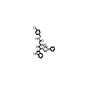 NC(CC(=O)NCc1ccc(Cl)cc1)C(=O)C(c1c[nH]c2ccccc12)N1CCN(c2ccccc2)CC1